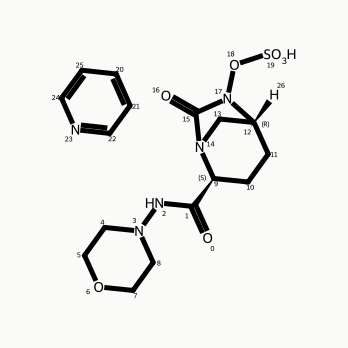 O=C(NN1CCOCC1)[C@@H]1CC[C@@H]2CN1C(=O)N2OS(=O)(=O)O.c1ccncc1